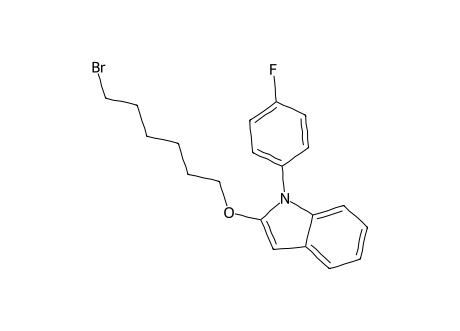 Fc1ccc(-n2c(OCCCCCCBr)cc3ccccc32)cc1